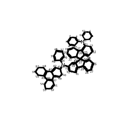 C1=CCC(N(c2ccccc2)c2cccc3c2C2C=CC=CC2C32c3ccccc3-c3ccc(N(c4ccccc4)C4C=c5c6c(c7c(c5=CC4)C=CCC7)CCCC6)cc32)C=C1